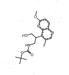 COc1ccc2ncc(F)c(C(CO)CNC(=O)OC(C)(C)C)c2n1